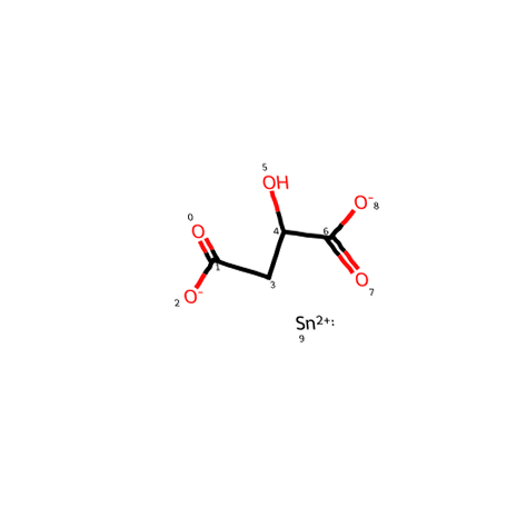 O=C([O-])CC(O)C(=O)[O-].[Sn+2]